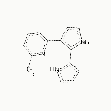 Cc1cccc(-c2cc[nH]c2-c2ccc[nH]2)n1